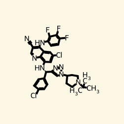 CC(C)(C)N1CCC(n2cc([C@@H](Nc3cc(Cl)cc4c(Nc5ccc(F)c(F)c5F)c(C#N)cnc34)c3ccc(Cl)cc3)nn2)CC1